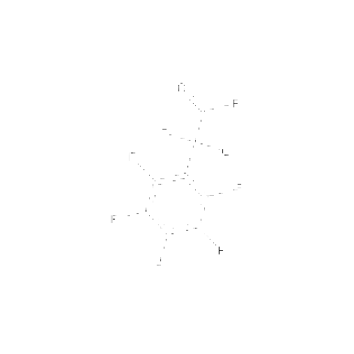 O=C(F)C(O)(F)c1c(F)c(F)c(F)c(F)c1F